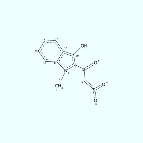 C.Cn1c(C(=O)C=S(=O)=O)c(O)c2ccccc21